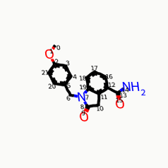 COc1ccc(CN2C(=O)Cc3c(C(N)=O)cccc32)cc1